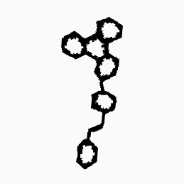 C(=Cc1ccc(-c2ccc3c4ccccc4c4ccccc4c3c2)cc1)c1ccccc1